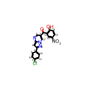 O=C(c1cnc2cc(-c3ccc(Cl)cc3)nn2c1)c1cc([N+](=O)[O-])ccc1O